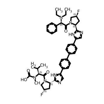 CCN(CC)[C@@H](C(=O)N1C[C@@H](F)C[C@H]1c1ncc(-c2ccc(-c3ccc(-c4cnc([C@@H]5C[C@H](F)CN5C(=O)[C@H](C(C)C)N(C)C(=O)O)[nH]4)cc3)cc2)[nH]1)c1ccccc1